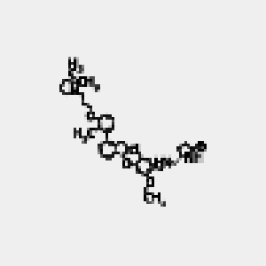 CCOc1cc(O[C@H]2CCc3c(-c4cccc(OCCCN5CCCC5(C)C)c4C)cccc32)c(Cl)cc1CNC[C@@H]1CCC(=O)N1